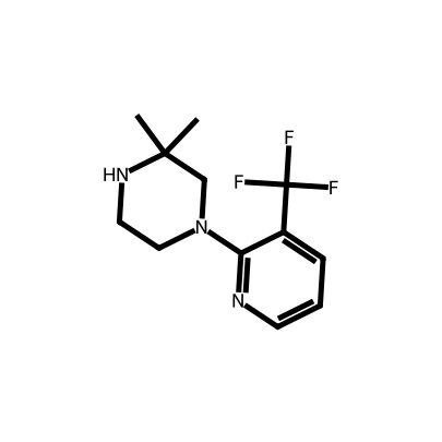 CC1(C)CN(c2ncccc2C(F)(F)F)CCN1